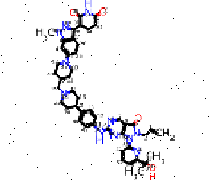 C=CCn1c(=O)c2cnc(Nc3ccc(C4CCN(CC5CCN(c6ccc7c(C8CCC(=O)NC8=O)nn(C)c7c6)CC5)CC4)cc3)nc2n1-c1cccc(C(C)(C)O)n1